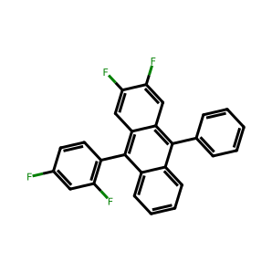 Fc1ccc(-c2c3ccccc3c(-c3ccccc3)c3cc(F)c(F)cc23)c(F)c1